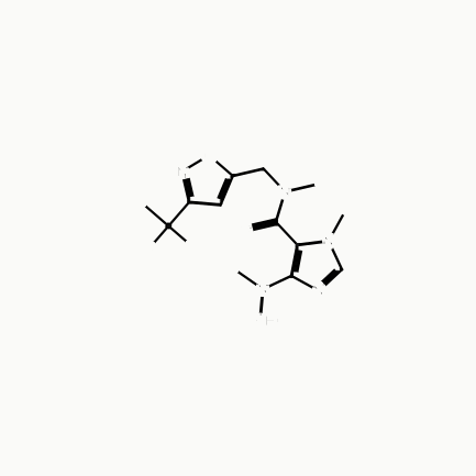 CN(Cc1cc(C(C)(O)C(F)(F)F)no1)C(=O)c1c(N(C)C=O)ncn1C